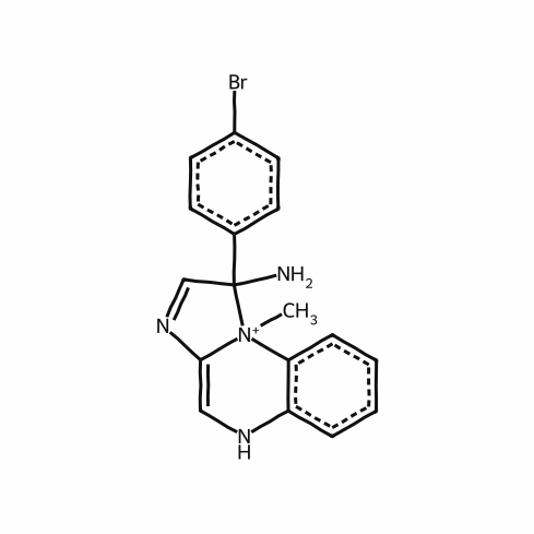 C[N+]12C(=CNc3ccccc31)N=CC2(N)c1ccc(Br)cc1